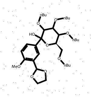 CCCCOC[C@H]1OC(O)(c2ccc(OC)c(C3OCCO3)c2)C(OCCCC)C(OCCCC)C1OCCCC